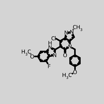 COc1ccc(Cn2c(=O)c(-c3nc4c(F)cc(OC)cc4[nH]3)c(Cl)c3nn(C)cc32)cc1